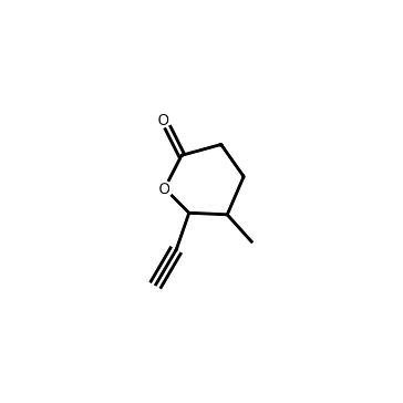 C#CC1OC(=O)CCC1C